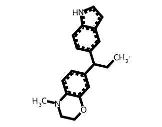 [CH2]CC(c1ccc2c(c1)OCCN2C)c1ccc2[nH]ccc2c1